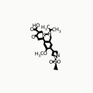 COc1cc2c(cc1-c1cnn(S(=O)(=O)C3CC3)c1)CN(C(C)C)n1cc(C(=O)O)c(=O)cc1-2